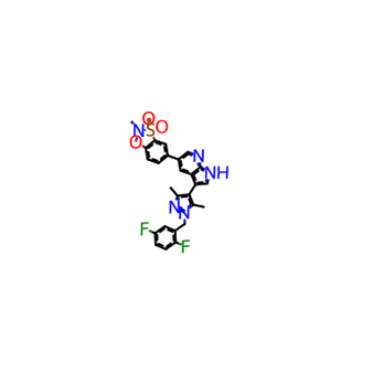 Cc1nn(Cc2cc(F)ccc2F)c(C)c1-c1c[nH]c2ncc(-c3ccc4c(c3)S(=O)(=O)N(C)O4)cc12